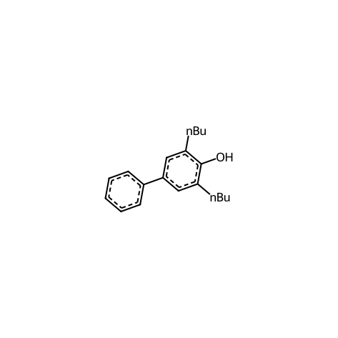 CCCCc1cc(-c2ccccc2)cc(CCCC)c1O